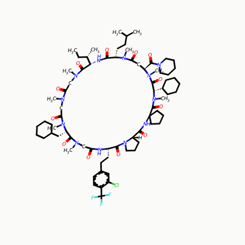 CC[C@H](C)[C@@H]1NC(=O)[C@H](CCC(C)C)N(C)C(=O)C[C@@H](C(=O)N2CCCCC2)N(C)C(=O)[C@H](C2CCCCC2)N(C)C(=O)C2(CCCC2)NC(=O)[C@@H]2CCCN2C(=O)[C@H](CCc2ccc(C(F)(F)F)c(Cl)c2)NC(=O)CN(C)C(=O)[C@H](CC2CCCCC2)N(C)C(=O)CN(C)C(=O)CN(C)C1=O